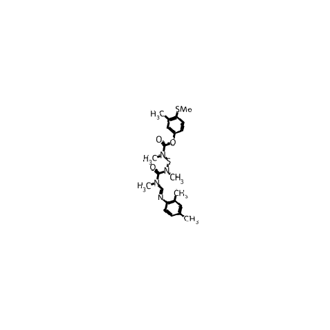 CSc1ccc(OC(=O)N(C)SN(C)C(=O)N(C)C=Nc2ccc(C)cc2C)cc1C